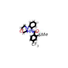 CSc1cc(C(F)(F)F)ccc1C(=O)NC1CCCCC1N1CCOCC1